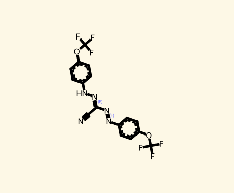 N#CC(/N=N/c1ccc(OC(F)(F)F)cc1)=N\Nc1ccc(OC(F)(F)F)cc1